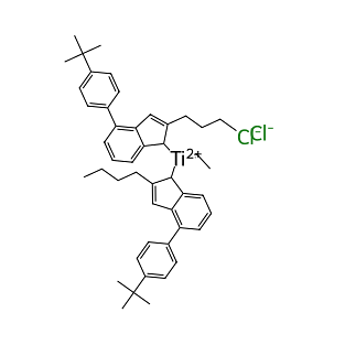 C[CH]=[Ti+2]([CH]1C(CCCC)=Cc2c(-c3ccc(C(C)(C)C)cc3)cccc21)[CH]1C(CCCC)=Cc2c(-c3ccc(C(C)(C)C)cc3)cccc21.[Cl-].[Cl-]